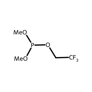 COP(OC)OCC(F)(F)F